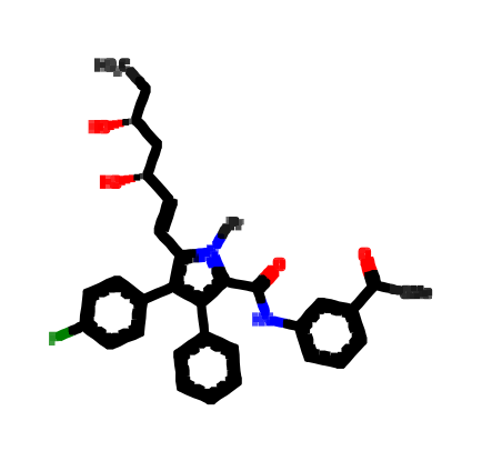 COC(=O)c1cccc(NC(=O)c2c(-c3ccccc3)c(-c3ccc(F)cc3)c(C=C[C@H](O)C[C@H](O)CC(=O)O)n2C(C)C)c1